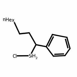 CCCCCCCCC([SiH2]Cl)c1ccccc1